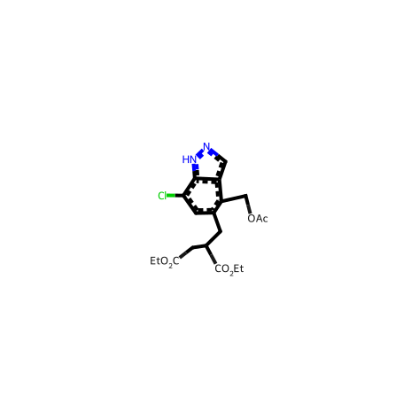 CCOC(=O)CC(Cc1cc(Cl)c2[nH]ncc2c1COC(C)=O)C(=O)OCC